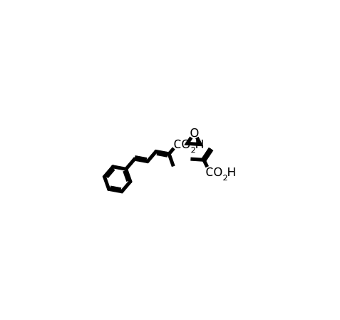 C1CO1.C=C(C)C(=O)O.CC(=CC=Cc1ccccc1)C(=O)O